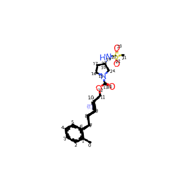 Cc1ccccc1CC/C=C/COC(=O)N1CC[C@H](NS(C)(=O)=O)C1